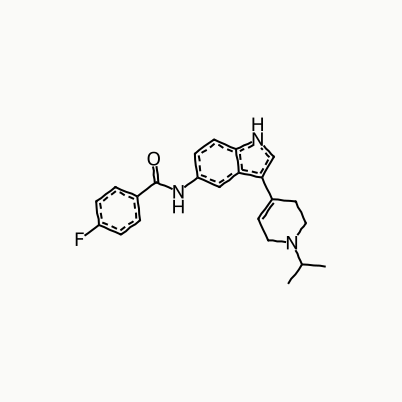 CC(C)N1CC=C(c2c[nH]c3ccc(NC(=O)c4ccc(F)cc4)cc23)CC1